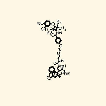 CC(C)(C)C[C@@H]1N[C@@H](C(=O)NCCOCCOc2ccc(C(=O)N[C@H]3C(C)(C)[C@H](Oc4ccc(C#N)c(Cl)c4)C3(C)C)cc2)[C@H](c2cccc(Cl)c2F)[C@@]1(C#N)c1ccc(Cl)cc1F